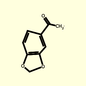 [CH2]C(=O)c1ccc2c(c1)OCO2